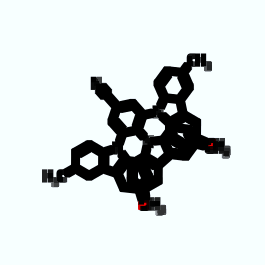 CC1=CC2C3=C(C=CC(C)C3)N(c3cc(C#N)cc(-n4c5c(c6c4C=CC(C)C6)CC(C)C=C5)c3-n3c4ccc(C)cc4c4cc(C)ccc43)C2C=C1